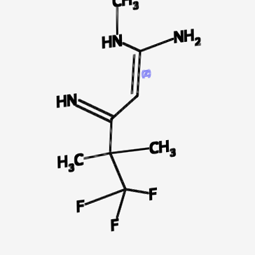 CN/C(N)=C\C(=N)C(C)(C)C(F)(F)F